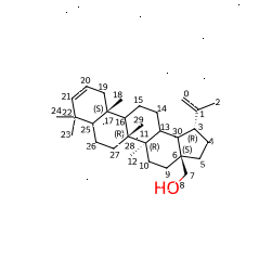 C=C(C)[C@@H]1CC[C@]2(CO)CC[C@]3(C)C(CCC4[C@@]5(C)CC=CC(C)(C)C5CC[C@]43C)C12